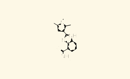 Cc1cc(-c2nc3c(C(N)=O)cccc3[nH]2)c(C)n1C